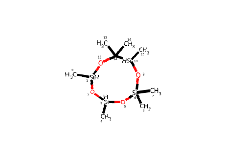 C[SiH]1O[SiH](C)O[Si](C)(C)O[SiH](C)C(C)(C)O1